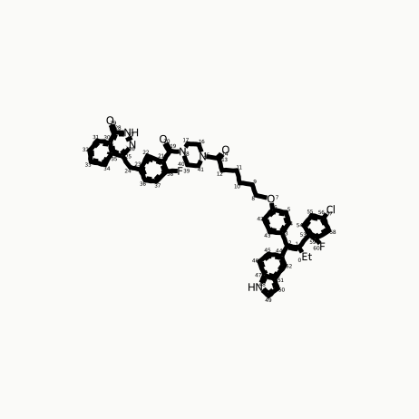 CC/C(=C(/c1ccc(OCCCCCC(=O)N2CCN(C(=O)c3cc(Cc4n[nH]c(=O)c5ccccc45)ccc3F)CC2)cc1)c1ccc2[nH]ccc2c1)c1ccc(Cl)cc1F